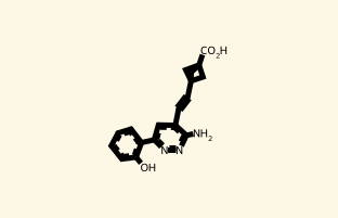 Nc1nnc(-c2ccccc2O)cc1C#CC12CC(C(=O)O)(C1)C2